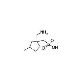 CC1CCC(CN)(CS(=O)(=O)O)C1